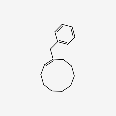 C1=C(Cc2ccccc2)CCCCCCCC1